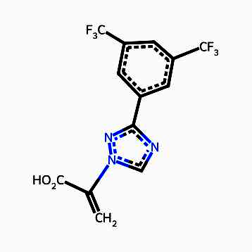 C=C(C(=O)O)n1cnc(-c2cc(C(F)(F)F)cc(C(F)(F)F)c2)n1